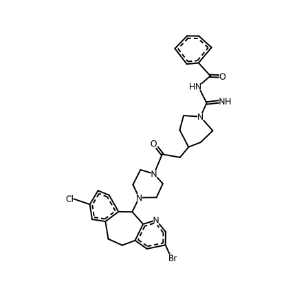 N=C(NC(=O)c1ccccc1)N1CCC(CC(=O)N2CCN(C3c4ccc(Cl)cc4CCc4cc(Br)cnc43)CC2)CC1